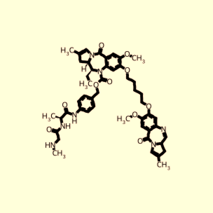 CC[C@H]1[C@H]2CC(C)=CN2C(=O)c2cc(OC)c(OCCCCCOc3cc4c(cc3OC)C(=O)N3C=C(C)CC3C=N4)cc2N1C(=O)OCc1ccc(NC(=O)[C@H](C)NC(=O)CNC)cc1